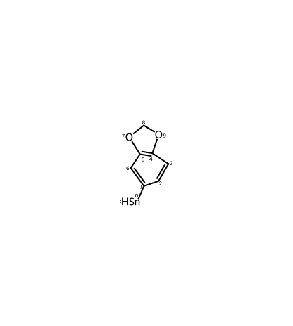 [SnH][c]1ccc2c(c1)OCO2